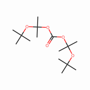 CC(C)(C)OC(C)(C)OC(=O)OC(C)(C)OC(C)(C)C